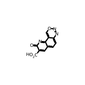 O=C(O)c1cc2ccc3nnocc3c2nc1=O